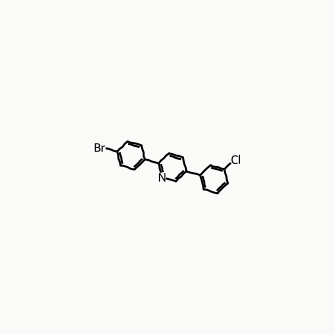 Clc1cccc(-c2ccc(-c3ccc(Br)cc3)nc2)c1